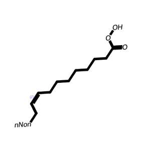 CCCCCCCCCC/C=C\CCCCCCCC(=O)OO